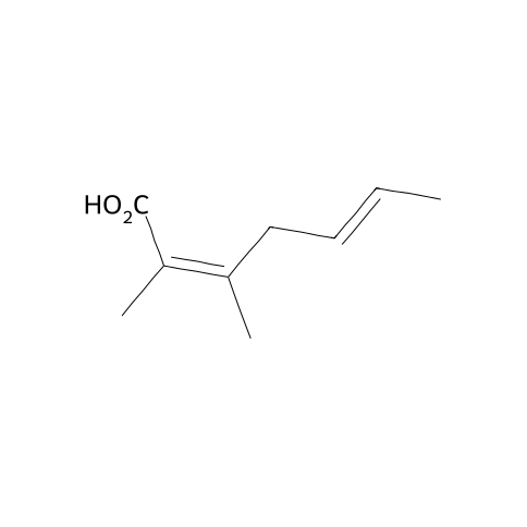 CC=CCC(C)=C(C)C(=O)O